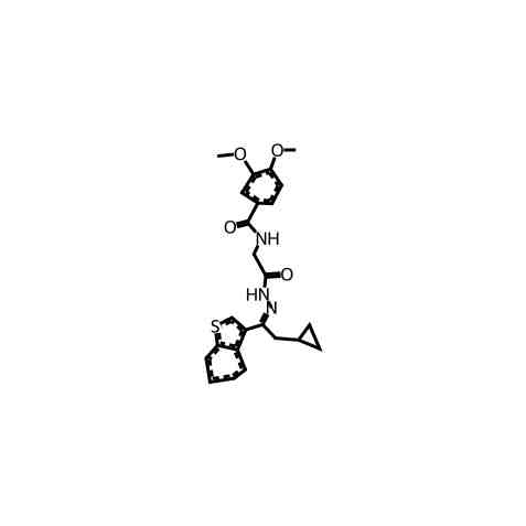 COc1ccc(C(=O)NCC(=O)N/N=C(/CC2CC2)c2csc3ccccc23)cc1OC